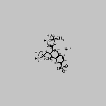 CC(C)(C)CC1Cc2nc(S(=O)(=O)[O-])ccc2CN1C(=O)OC(C)(C)C.[Na+]